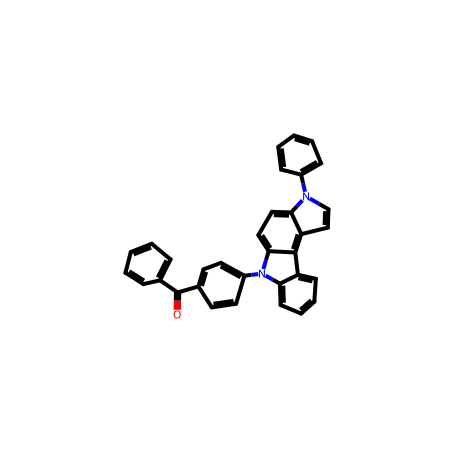 O=C(c1ccccc1)c1ccc(-n2c3ccccc3c3c4ccn(-c5ccccc5)c4ccc32)cc1